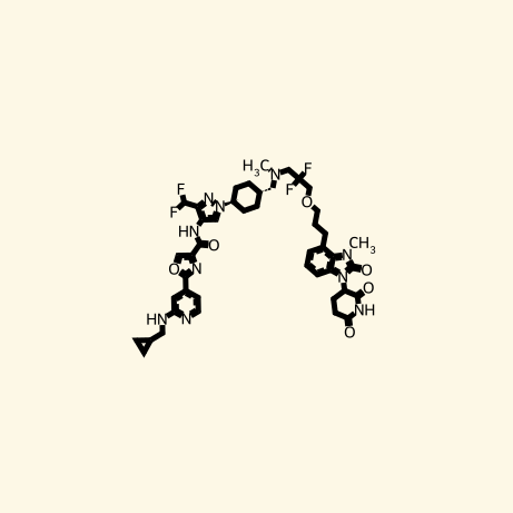 CN(CC(F)(F)COCCCc1cccc2c1n(C)c(=O)n2C1CCC(=O)NC1=O)C[C@H]1CC[C@H](n2cc(NC(=O)c3coc(-c4ccnc(NCC5CC5)c4)n3)c(C(F)F)n2)CC1